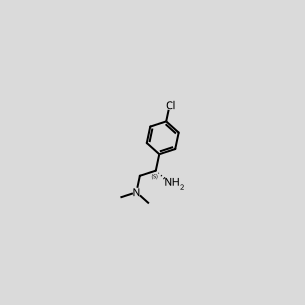 CN(C)C[C@@H](N)c1ccc(Cl)cc1